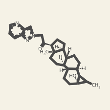 CC1C2[C@@H]3CC[C@@H]4[C@H](CC[C@]5(C)[C@@H](C(=O)Cn6cc7ncccc7n6)CC[C@@H]45)[C@H]3CC[C@]12O